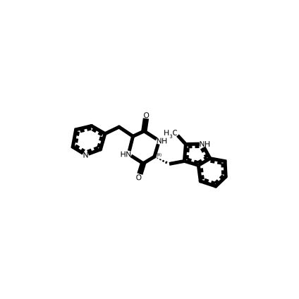 Cc1[nH]c2ccccc2c1C[C@H]1NC(=O)C(Cc2cccnc2)NC1=O